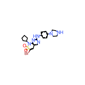 O=S1(=O)C(Br)=Cc2cnc(Nc3ccc(N4CCNCC4)cc3)nc2N1C1CCCC1